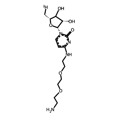 [2H]C[C@H]1O[C@@H](n2ccc(NCCOCCOCCN)nc2=O)[C@@H](O)C1O